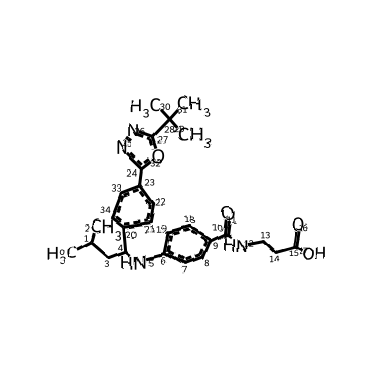 CC(C)CC(Nc1ccc(C(=O)NCCC(=O)O)cc1)c1ccc(-c2nnc(C(C)(C)C)o2)cc1